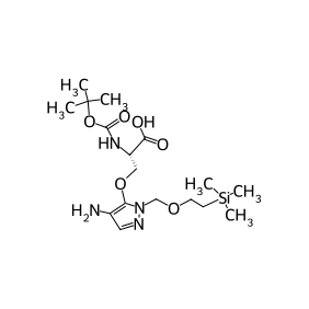 CC(C)(C)OC(=O)N[C@@H](COc1c(N)cnn1COCC[Si](C)(C)C)C(=O)O